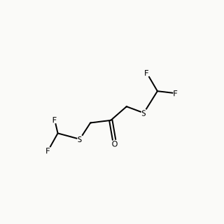 O=C(CSC(F)F)CSC(F)F